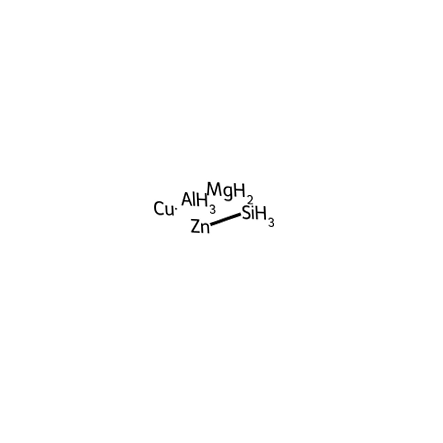 [AlH3].[Cu].[MgH2].[SiH3][Zn]